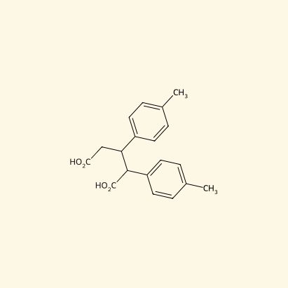 Cc1ccc(C(CC(=O)O)C(C(=O)O)c2ccc(C)cc2)cc1